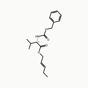 CCC=CCOC(=O)[C@@H](NC(=O)OCc1ccccc1)C(C)C